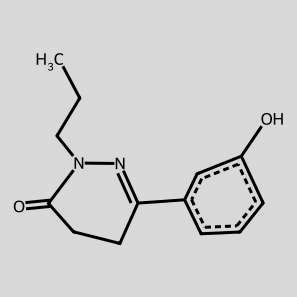 CCCN1N=C(c2cccc(O)c2)CCC1=O